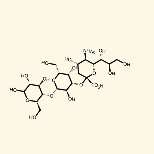 CC(=O)N[C@H]1[C@H]([C@H](O)[C@H](O)CO)O[C@@](O[C@H]2[C@@H](O)[C@@H](CO)O[C@@H](O[C@H]3[C@H](O)[C@@H](O)C(O)O[C@@H]3CO)[C@@H]2O)(C(=O)O)C[C@@H]1O